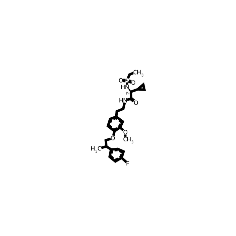 CCS(=O)(=O)N[C@H](C(=O)NCCc1ccc(OCC(C)c2ccc(F)cc2)c(OC)c1)C1CC1